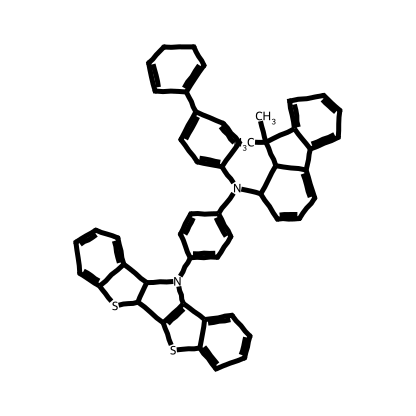 CC1(C)c2ccccc2C2=CC=CC(N(c3ccc(C4=CCCC=C4)cc3)c3ccc(N4c5c(sc6ccccc56)C5Sc6ccccc6C54)cc3)C21